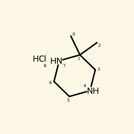 CC1(C)CNCCN1.Cl